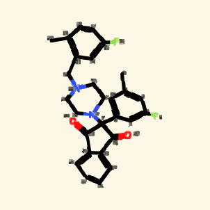 Cc1cc(F)cc(C2(N3CCN(Cc4cc(F)ccc4C)CC3)C(=O)c3ccccc3C2=O)c1